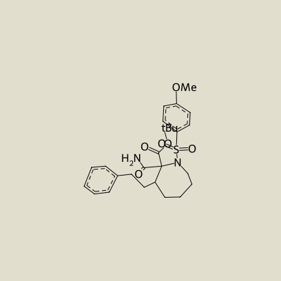 COc1ccc(S(=O)(=O)N2CCCCC(CCc3ccccc3)C2(C(N)=O)C(=O)OC(C)(C)C)cc1